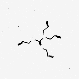 C=CCNC(=[O+]CC=C)N(CC=C)CC=C